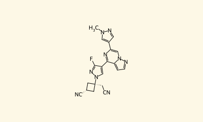 Cn1cc(-c2cn3nccc3c(-c3cn([C@]4(CC#N)C[C@@H](C#N)C4)nc3F)n2)cn1